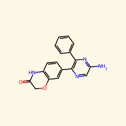 Nc1cnc(-c2ccc3c(c2)OCC(=O)N3)c(-c2ccccc2)n1